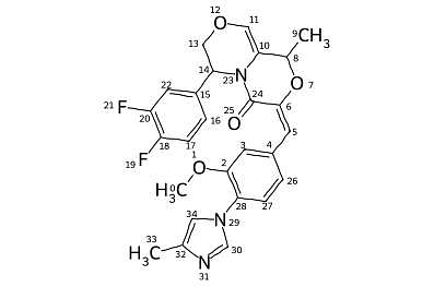 COc1cc(C=C2OC(C)C3=COCC(c4ccc(F)c(F)c4)N3C2=O)ccc1-n1cnc(C)c1